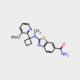 COc1cccnc1C1(N(C)c2nc3ccc(C(N)=O)cc3s2)CCC1